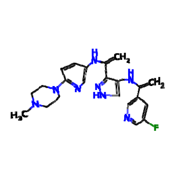 C=C(Nc1c[nH]nc1C(=C)Nc1ccc(N2CCN(C)CC2)nc1)c1cncc(F)c1